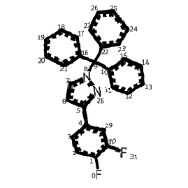 Fc1ccc(-c2ccn(C(c3ccccc3)(c3ccccc3)c3ccccc3)n2)cc1F